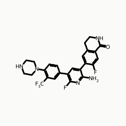 Nc1nc(F)c(-c2ccc(N3CCNCC3)c(C(F)(F)F)c2)cc1-c1cc2c(cc1F)C(=O)NCC2